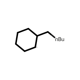 CCCCCC1[CH]CCCC1